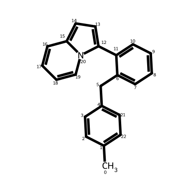 Cc1ccc(Cc2ccccc2-c2ccc3ccccn23)cc1